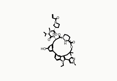 C=CC(=O)N1CC[C@H](C(=O)N(C)[C@H](C(=O)N[C@H]2Cc3cc(O)cc(c3)-c3ccc4c(c3)c(c(-c3cnn(C)c3)n4CC)CC(C)(C)COC(=O)[C@@H]3CCCN(N3)C2=O)C(C)C)C1